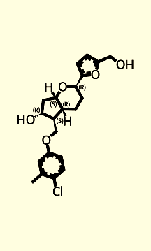 Cc1cc(OC[C@@H]2[C@H]3CC[C@H](c4ccc(CO)o4)O[C@H]3C[C@H]2O)ccc1Cl